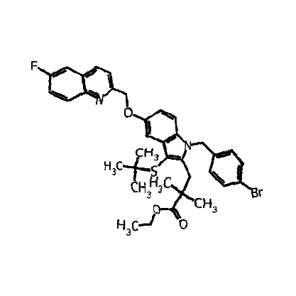 CCOC(=O)C(C)(C)Cc1c(SC(C)(C)C)c2cc(OCc3ccc4cc(F)ccc4n3)ccc2n1Cc1ccc(Br)cc1